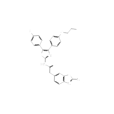 CCCOc1ccc(-c2nc(NC(=O)Cc3ccc4nc(N)sc4c3)sc2-c2ccc(F)cc2)cc1